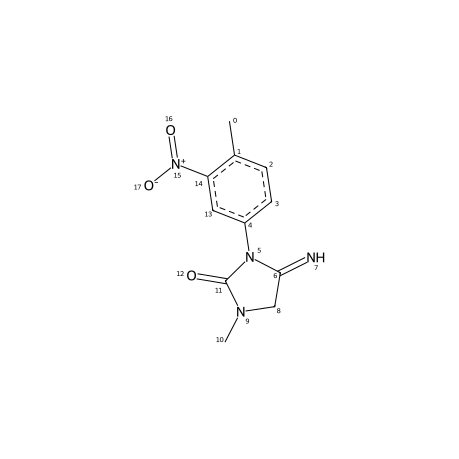 Cc1ccc(N2C(=N)CN(C)C2=O)cc1[N+](=O)[O-]